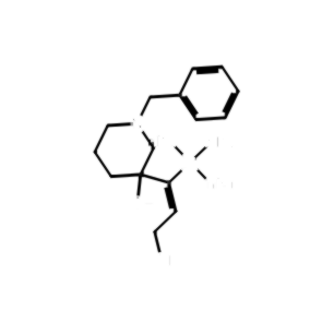 CCC[CH2][Sn]([CH2]CCC)([CH2]CCC)/[C](=C/CO)C1(O)CCCN(Cc2ccccc2)C1